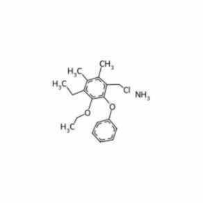 CCOc1c(CC)c(C)c(C)c(CCl)c1Oc1ccccc1.N